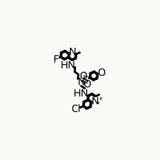 COc1ccc(S(=O)(=O)N(CCCCNc2cc(C)nc3ccc(F)cc23)CCNc2cc(C)[n+](C)c3ccc(Cl)cc23)cc1